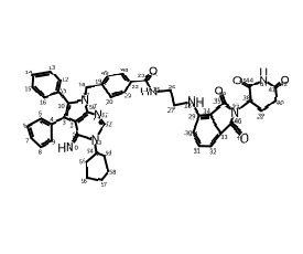 N=c1c2c(-c3ccccc3)c(-c3ccccc3)n(Cc3ccc(C(=O)NCCNc4cccc5c4C(=O)N(C4CCC(=O)NC4=O)C5=O)cc3)c2ncn1C1CCCCC1